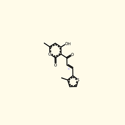 Cc1cc(O)c(C(=O)/C=C/c2sccc2C)c(=O)o1